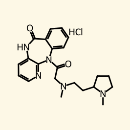 CN(CCC1CCCN1C)CC(=O)N1c2ccccc2C(=O)Nc2cccnc21.Cl